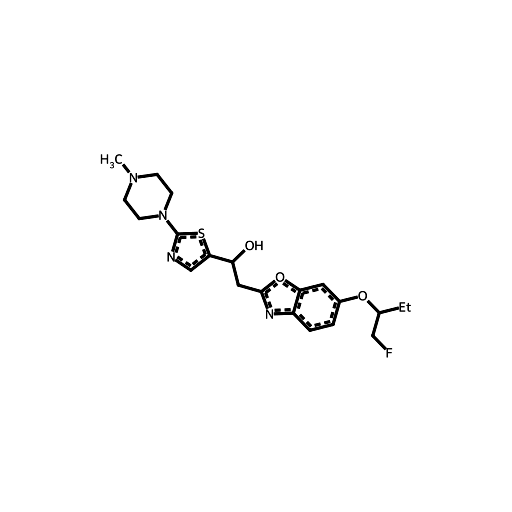 CCC(CF)Oc1ccc2nc(CC(O)c3cnc(N4CCN(C)CC4)s3)oc2c1